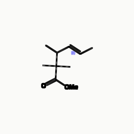 C/C=C/C(C)C(C)(C)C(=O)OC